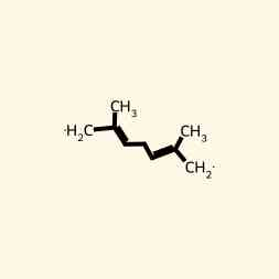 [CH2]C(C)=CCC=C([CH2])C